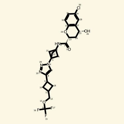 O=C(NC12CC(n3cc(C4CC(COC(F)(F)F)C4)nn3)(C1)C2)[C@H]1C[C@@H](O)c2cc(Cl)ccc2O1